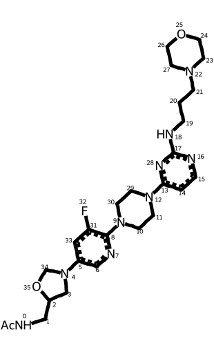 CC(=O)NCC1CN(c2cnc(N3CCN(c4ccnc(NCCCN5CCOCC5)n4)CC3)c(F)c2)CO1